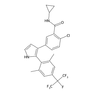 Cc1cc(C(F)(C(F)(F)F)C(F)(F)F)cc(C)c1-c1[nH]ccc1-c1ccc(Cl)c(C(=O)NC2CC2)c1